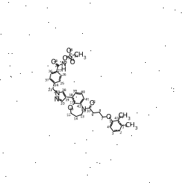 Cc1cccc(OCCCC(=O)N2CCCOc3c(-c4cnn(Cc5ccc(C(=O)NOS(C)(=O)=O)cc5)c4)cccc32)c1C